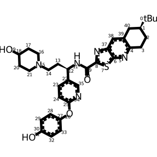 CC(C)(C)[C@H]1CCc2nc3sc(C(=O)N[C@H](CCN4CCC(O)CC4)c4ccc(Oc5ccc(O)cc5)nc4)nc3cc2C1